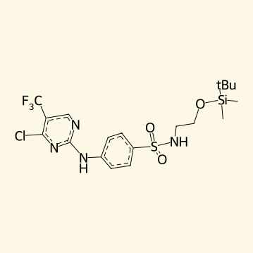 CC(C)(C)[Si](C)(C)OCCNS(=O)(=O)c1ccc(Nc2ncc(C(F)(F)F)c(Cl)n2)cc1